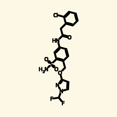 NS(=O)(=O)c1cc(NC(=O)Cc2ccccc2Cl)ccc1COc1ccn(C(F)F)n1